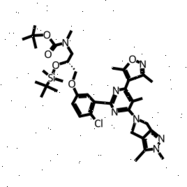 Cc1noc(C)c1-c1nc(-c2cc(OC[C@@H](CN(C)C(=O)OC(C)(C)C)O[Si](C)(C)C(C)(C)C)ccc2Cl)nc(N2Cc3nn(C)c(C)c3C2)c1C